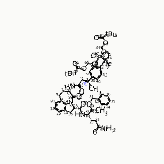 C/C(=C\C(=O)N[C@H]1CCc2cccc3c2N(C1=O)[C@H](C(=O)N[C@@H](CCC(N)=O)[C@@H](C)OCc1ccccc1)C3)c1ccc(C(F)(F)P(=O)(OCOC(=O)C(C)(C)C)OCOC(=O)C(C)(C)C)cc1